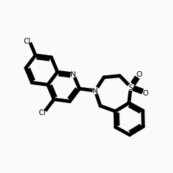 O=S1(=O)CCN(c2cc(Cl)c3ccc(Cl)cc3n2)Cc2ccccc21